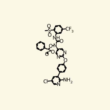 CS(=O)(=O)c1ccc(C(F)(F)F)cc1NC(=O)N(OS(=O)(=O)c1ccccc1)c1cnc(Oc2ccc(-c3cc(Cl)cnc3N)cc2)nc1